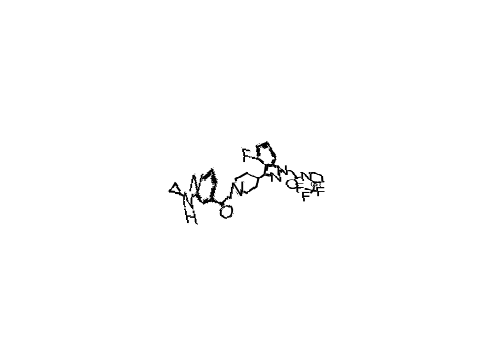 O=C(c1ccnc(NC2CC2)c1)N1CCC(c2nn(CC(=O)N3CCC[C@H]3C(F)(F)F)c3cccc(F)c23)CC1